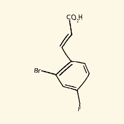 O=C(O)C=Cc1ccc(F)cc1Br